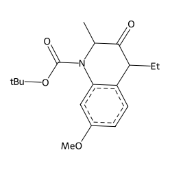 CCC1C(=O)C(C)N(C(=O)OC(C)(C)C)c2cc(OC)ccc21